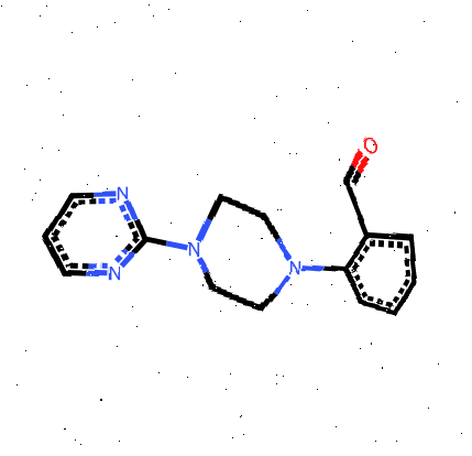 O=Cc1ccccc1N1CCN(c2ncccn2)CC1